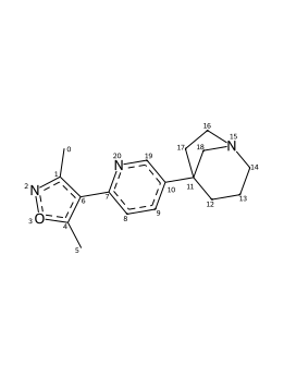 Cc1noc(C)c1-c1ccc(C23CCCN(CC2)C3)cn1